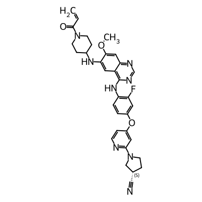 C=CC(=O)N1CCC(Nc2cc3c(Nc4ccc(Oc5ccnc(N6CC[C@H](C#N)C6)c5)cc4F)ncnc3cc2OC)CC1